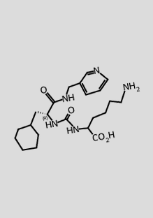 NCCCCC(NC(=O)N[C@H](CC1CCCCC1)C(=O)NCc1cccnc1)C(=O)O